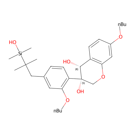 CCCCOc1ccc2c(c1)OC[C@@](O)(c1ccc(CC(C)(C)[Si](C)(C)O)cc1OCCCC)[C@@H]2O